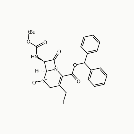 CC(C)(C)OC(=O)N[C@H]1C(=O)N2C(C(=O)OC(c3ccccc3)c3ccccc3)=C(CI)C[S+]([O-])[C@@H]12